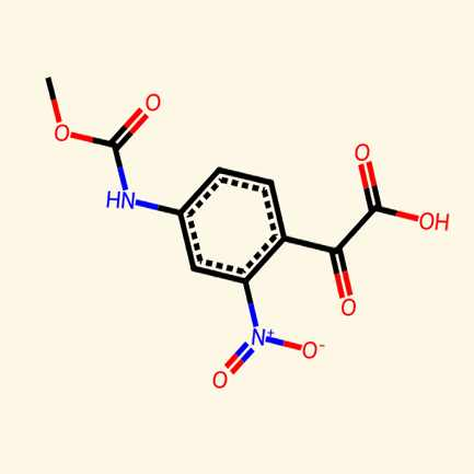 COC(=O)Nc1ccc(C(=O)C(=O)O)c([N+](=O)[O-])c1